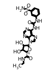 CCNC(=O)[C@H]1O[C@@H](n2cnc3c(NC(=O)Nc4cccc(S(N)(=O)=O)c4)ncnc32)C(O)C1O